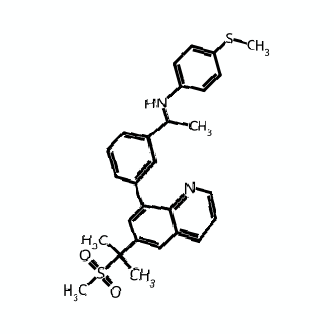 CSc1ccc(NC(C)c2cccc(-c3cc(C(C)(C)S(C)(=O)=O)cc4cccnc34)c2)cc1